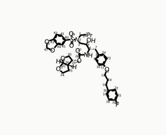 CC(C)CN(C[C@@H](O)[C@H](Cc1ccc(OCCCc2ccc(F)cc2)cc1)NC(=O)O[C@H]1CO[C@H]2OCC[C@H]21)S(=O)(=O)c1ccc2c(c1)OCO2